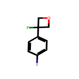 FC1(c2ccc(I)cc2)COC1